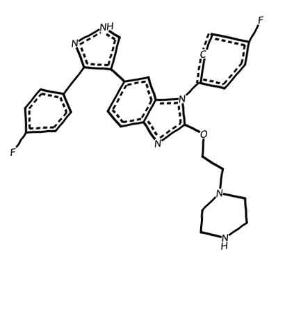 Fc1ccc(-c2n[nH]cc2-c2ccc3nc(OCCN4CCNCC4)n(-c4ccc(F)cc4)c3c2)cc1